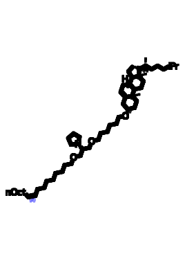 CCCCCCCC/C=C\CCCCCCCCOCC(COCCCCCCO[C@H]1CC[C@@]2(C)C(=CC[C@@H]3C2CC[C@@]2(C)C3CC[C@@H]2[C@H](C)CCCC(C)C)C1)N1CCCC1